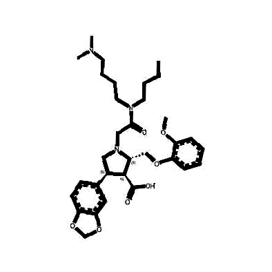 CCCCN(CCCCN(C)C)C(=O)CN1C[C@H](c2ccc3c(c2)OCO3)[C@H](C(=O)O)[C@H]1COc1ccccc1OC